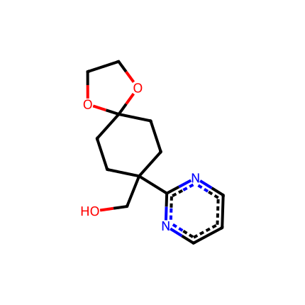 OCC1(c2ncccn2)CCC2(CC1)OCCO2